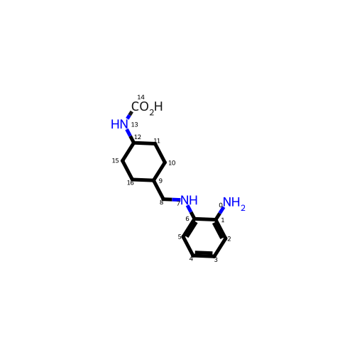 Nc1ccccc1NCC1CCC(NC(=O)O)CC1